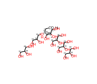 CCCCCCCCCCCC(=O)O.OCC(O)CO.OCC(O)CO.OCC(O)CO.OCC(O)CO.OCC(O)CO.OCC(O)CO